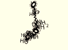 NC(CCCCNC(=O)OCc1ccccc1)C(=O)Nc1ccc(CC(=O)N[C@@H](CC(=O)O)C(=O)O)cc1